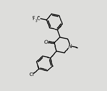 CN1CC(c2ccc(Cl)cc2)C(=O)C(c2cccc(C(F)(F)F)c2)C1